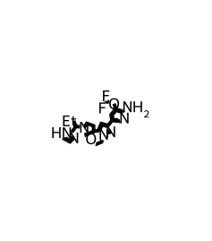 CCC(c1ncc[nH]1)N1CCC2(C1)OCCn1nc(-c3cnc(N)c(OC(F)F)c3)cc12